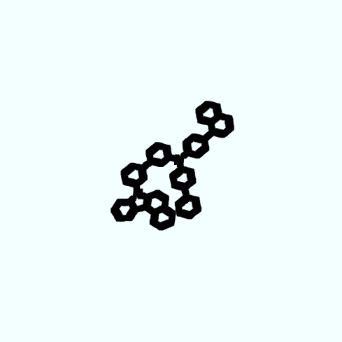 c1ccc(-c2ccc(N(c3ccc(-c4cccc5ccccc45)cc3)c3cccc(-c4cccc(-n5c6ccccc6c6c7ccccc7ccc65)c4)c3)cc2)cc1